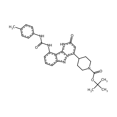 Cc1ccc(NC(=O)Nc2cccc3nn4c(C5CCN(C(=O)OC(C)(C)C)CC5)cc(=O)[nH]c4c23)cc1